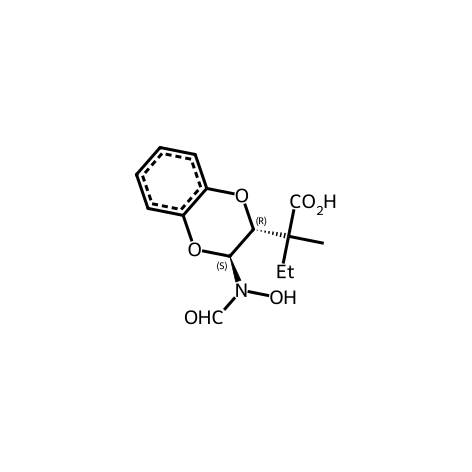 CCC(C)(C(=O)O)[C@H]1Oc2ccccc2O[C@@H]1N(O)C=O